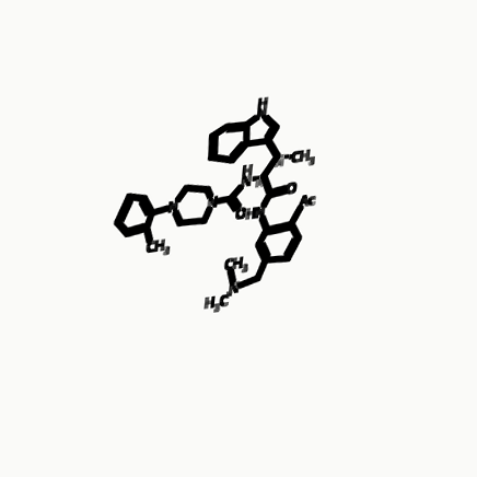 CC(=O)c1ccc(CN(C)C)cc1NC(=O)[C@H](NC(=O)N1CCN(c2ccccc2C)CC1)[C@@H](C)c1c[nH]c2ccccc12